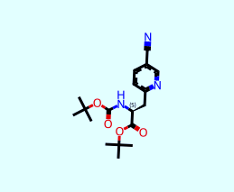 CC(C)(C)OC(=O)N[C@@H](Cc1ccc(C#N)cn1)C(=O)OC(C)(C)C